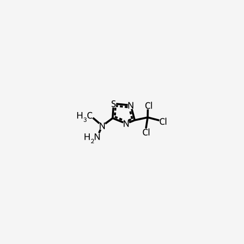 CN(N)c1nc(C(Cl)(Cl)Cl)ns1